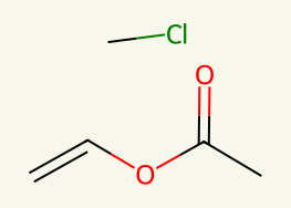 C=COC(C)=O.CCl